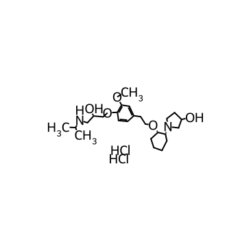 COc1cc(CCO[C@H]2CCCC[C@H]2N2CCC(O)C2)ccc1OC[C@H](O)CNC(C)C.Cl.Cl